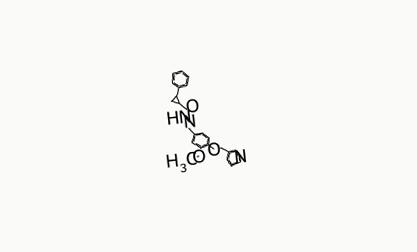 COc1cc(C=NNC(=O)C2CC2c2ccccc2)ccc1OCc1cccnc1